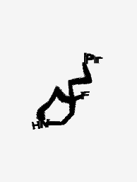 CC(C)CCC1(F)CCNCC1